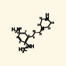 CNc1ccc(N)cc1CCCN1CCNCC1